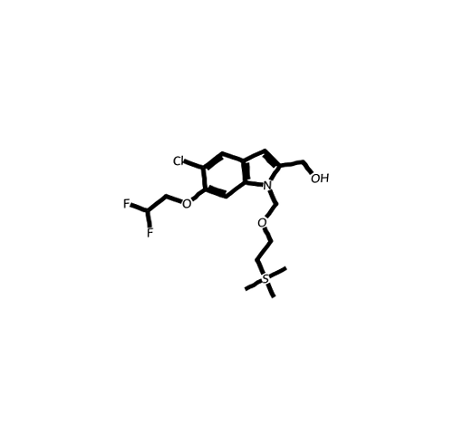 CS(C)(C)CCOCn1c(CO)cc2cc(Cl)c(OCC(F)F)cc21